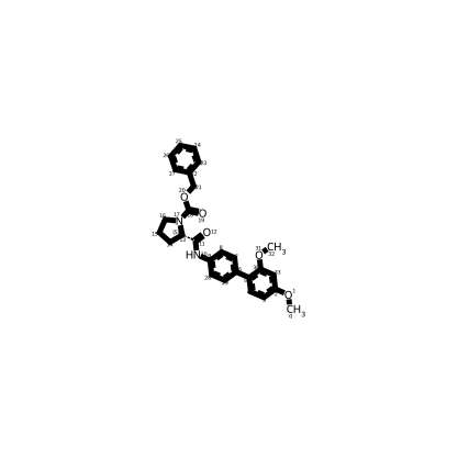 COc1ccc(-c2ccc(NC(=O)[C@@H]3CCCN3C(=O)OCc3ccccc3)cc2)c(OC)c1